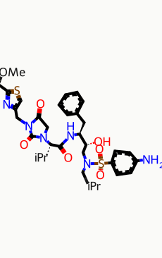 COCc1nc(CN2C(=O)CN([C@H](C(=O)N[C@@H](Cc3ccccc3)[C@H](O)CN(CC(C)C)S(=O)(=O)c3ccc(N)cc3)C(C)C)C2=O)cs1